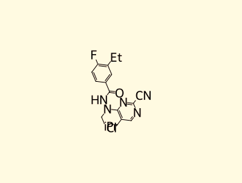 CCc1cc(C(=O)NN(CC(C)C)c2nc(C#N)ncc2Cl)ccc1F